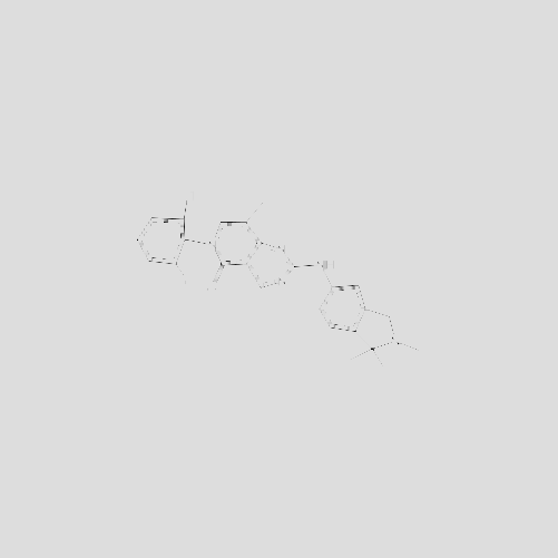 Cc1cn(-c2c(Cl)cccc2Cl)c(=O)c2cnc(Nc3ccc4c(c3)CN(C)C4(C)C)nc12